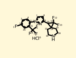 Cl.Fc1ccc(-n2ccc(C3C(F)(F)C34CCNCC4)n2)c(C(F)(F)F)c1